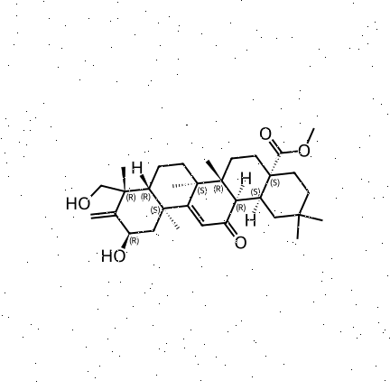 C=C1[C@H](O)C[C@]2(C)C3=CC(=O)[C@@H]4[C@@H]5CC(C)(C)CC[C@]5(C(=O)OC)CC[C@@]4(C)[C@]3(C)CC[C@H]2[C@@]1(C)CO